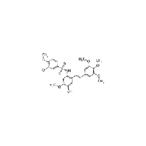 COc1cc(NS(=O)(=O)c2ccc(OC)c(Cl)c2)c(C=Cc2cc(OC)c(OC)c(OC)c2)cc1O